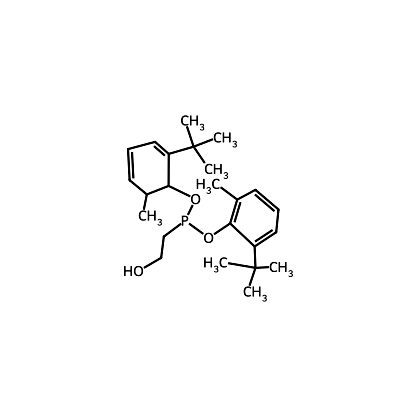 Cc1cccc(C(C)(C)C)c1OP(CCO)OC1C(C(C)(C)C)=CC=CC1C